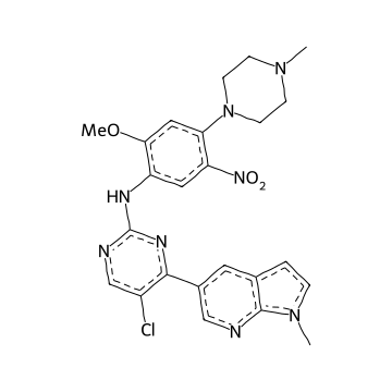 COc1cc(N2CCN(C)CC2)c([N+](=O)[O-])cc1Nc1ncc(Cl)c(-c2cnc3c(ccn3C)c2)n1